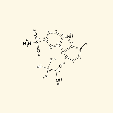 Cc1cccc2c1[nH]c1ccc(S(N)(=O)=O)cc12.O=C(O)C(F)(F)F